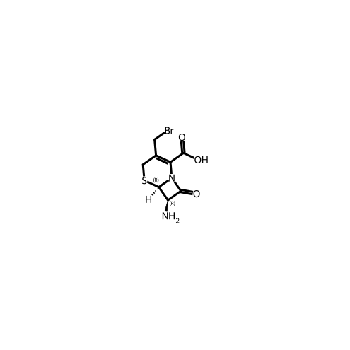 N[C@@H]1C(=O)N2C(C(=O)O)=C(CBr)CS[C@H]12